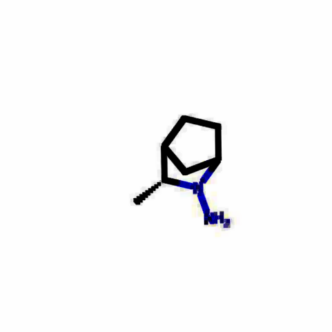 C[C@@H]1C2CCC(C2)N1N